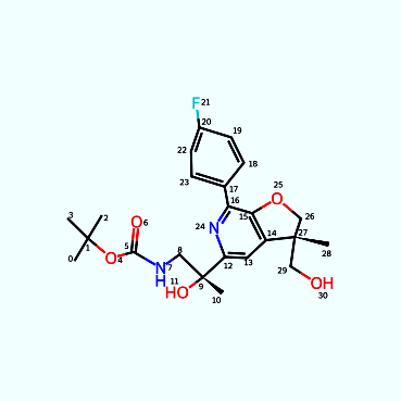 CC(C)(C)OC(=O)NC[C@@](C)(O)c1cc2c(c(-c3ccc(F)cc3)n1)OC[C@]2(C)CO